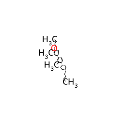 CCCCC[C@H]1CC[C@H](c2ccc(-c3ccc(OCCCC)c(C)c3)cc2C)CC1